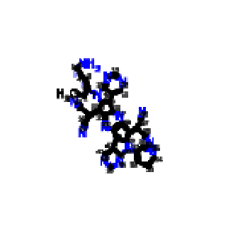 CC/C(=C\C=C/N)n1c2c(c3cncnc31)-c1nc3c(nc1C2=C(C#N)C#N)-c1c(n(-c2cccnc2)c2ncncc12)C3=C(C#N)C#N